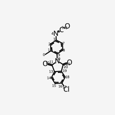 Cc1cc(N=C=O)ccc1N1C(=O)c2ccc(Cl)cc2C1=O